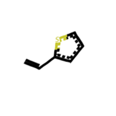 C=Cc1[c]ccs1